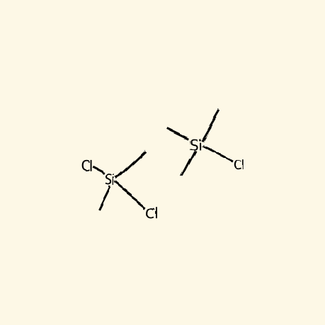 C[Si](C)(C)Cl.C[Si](C)(Cl)Cl